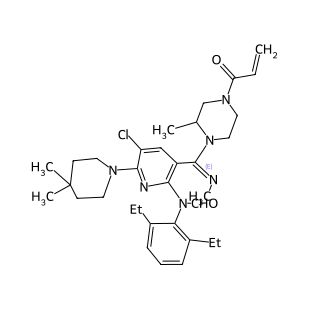 C=CC(=O)N1CCN(/C(=N/C)c2cc(Cl)c(N3CCC(C)(C)CC3)nc2N(C=O)c2c(CC)cccc2CC)C(C)C1